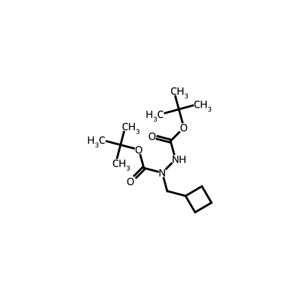 CC(C)(C)OC(=O)NN(CC1CCC1)C(=O)OC(C)(C)C